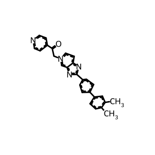 Cc1ccc(-c2ccc(-c3nc4ccn(CC(=O)c5ccncc5)cc-4n3)cc2)cc1C